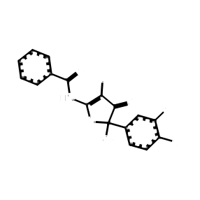 CC1(c2ccc(Cl)c(Cl)c2)OC(NC(=O)c2ccccc2)=C(O)C1=O